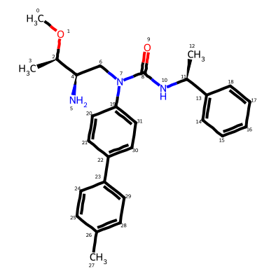 CO[C@H](C)[C@H](N)CN(C(=O)N[C@@H](C)c1ccccc1)c1ccc(-c2ccc(C)cc2)cc1